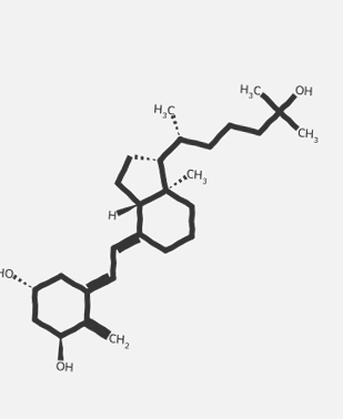 C=C1/C(=C/C=C2\CCC[C@]3(C)[C@@H]([C@H](C)CCCC(C)(C)O)CC[C@@H]23)C[C@@H](O)C[C@@H]1O